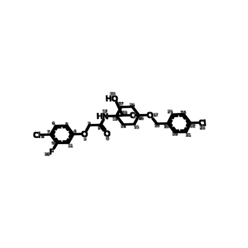 O=C(COc1ccc(Cl)c(F)c1)NC12CCC(OCc3ccc(Cl)cc3)(CC1)CC2O